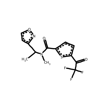 CC(c1ccon1)N(C)C(=O)c1ccc(C(=O)C(F)(F)F)s1